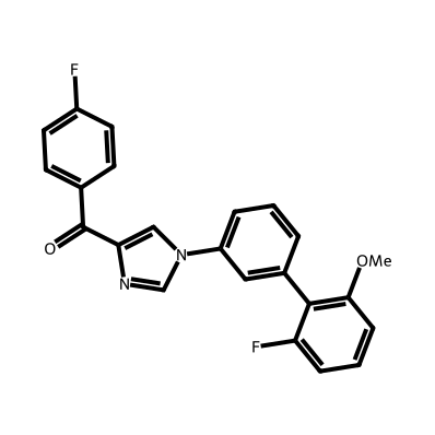 COc1cccc(F)c1-c1cccc(-n2cnc(C(=O)c3ccc(F)cc3)c2)c1